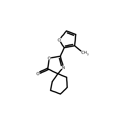 Cc1ccoc1C1=NC2(CCCCC2)C(=O)O1